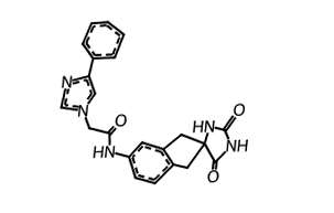 O=C(Cn1cnc(-c2ccccc2)c1)Nc1ccc2c(c1)CC1(C2)NC(=O)NC1=O